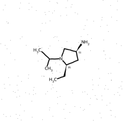 CC[C@@H]1C[C@H](N)CN1C(C)C